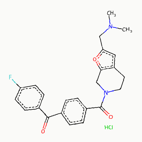 CN(C)Cc1cc2c(o1)CN(C(=O)c1ccc(C(=O)c3ccc(F)cc3)cc1)CC2.Cl